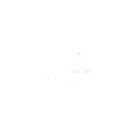 CCC(C)c1ccccc1.N=C=O.N=C=O